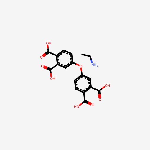 CCN.O=C(O)c1ccc(Oc2ccc(C(=O)O)c(C(=O)O)c2)cc1C(=O)O